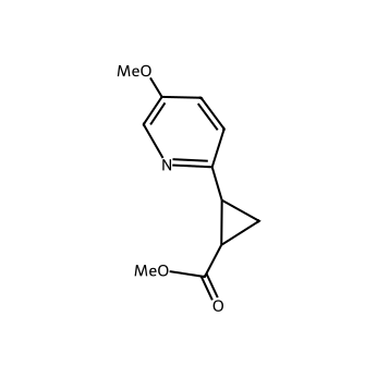 COC(=O)C1CC1c1ccc(OC)cn1